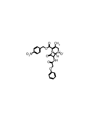 CC1=C(C(=O)OCc2ccc([N+](=O)[O-])cc2)N2C(=O)C(NC(=O)COc3ccccc3)[C@@H]2[S+]([O-])C1